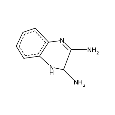 NC1=Nc2ccccc2NC1N